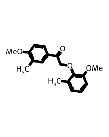 COc1ccc(C(=O)COc2c(C)cccc2OC)cc1C